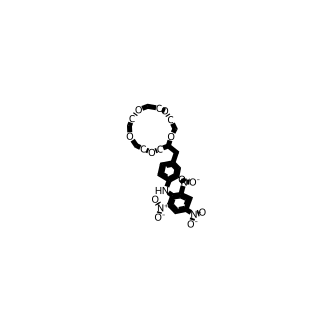 O=[N+]([O-])c1cc([N+](=O)[O-])c(Nc2ccc(CC3COCCOCCOCCOCCO3)cc2)c([N+](=O)[O-])c1